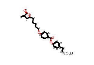 C=C1CC(CCCCCOc2ccc(C(=O)Oc3ccc(/C=C/C(=O)OCC)cc3)cc2)OC1=O